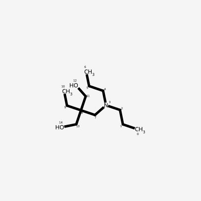 CCCN(CCC)CC(CC)(CO)CO